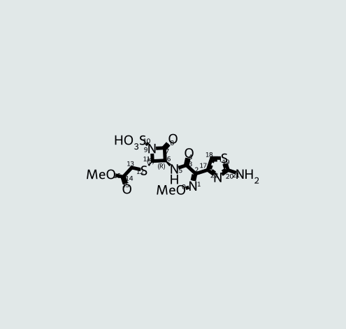 CON=C(C(=O)N[C@@H]1C(=O)N(S(=O)(=O)O)[C@H]1SCC(=O)OC)c1csc(N)n1